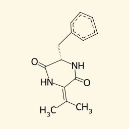 CC(C)=C1NC(=O)[C@H](Cc2ccccc2)NC1=O